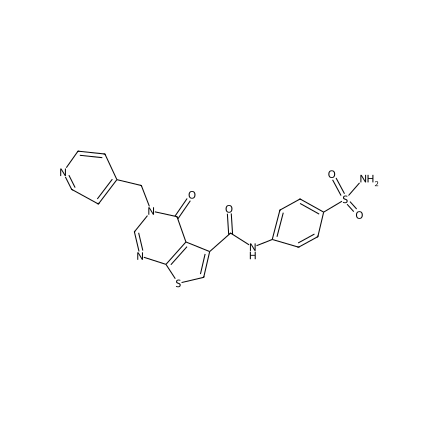 NS(=O)(=O)c1ccc(NC(=O)c2csc3ncn(Cc4ccncc4)c(=O)c23)cc1